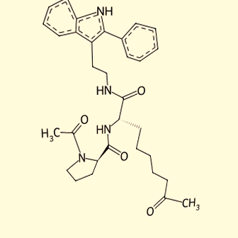 CC(=O)CCCCC[C@H](NC(=O)[C@H]1CCCN1C(C)=O)C(=O)NCCc1c(-c2ccccc2)[nH]c2ccccc12